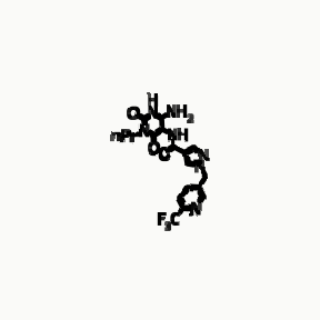 CCCn1c(=O)[nH]c(N)c(NC(=O)c2cnn(Cc3ccc(C(F)(F)F)nc3)c2)c1=O